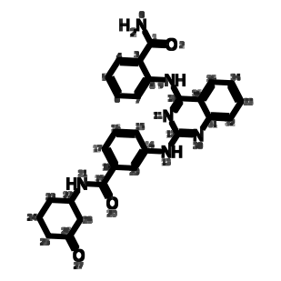 NC(=O)c1ccccc1Nc1nc(Nc2cccc(C(=O)NC3CCCC(=O)C3)c2)nc2ccccc12